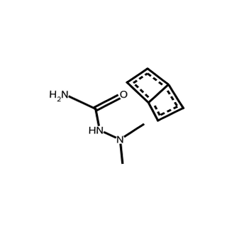 CN(C)NC(N)=O.c1cc2ccc1-2